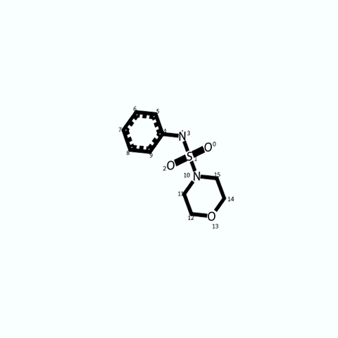 O=S(=O)([N]c1ccccc1)N1CCOCC1